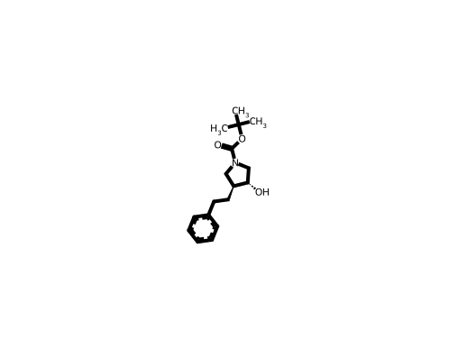 CC(C)(C)OC(=O)N1C[C@H](CCc2ccccc2)[C@@H](O)C1